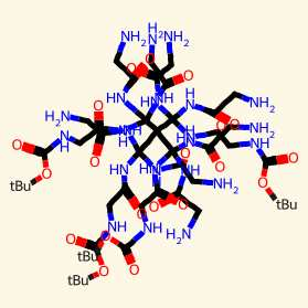 CC(C)(C)OC(=O)NCC(=O)NC(NC(=O)CN)(NC(=O)CN)C(C(NC(=O)CN)(NC(=O)CN)NC(=O)CNC(=O)OC(C)(C)C)(C(NC(=O)CN)(NC(=O)CN)NC(=O)CNC(=O)OC(C)(C)C)C(NC(=O)CN)(NC(=O)CN)NC(=O)CNC(=O)OC(C)(C)C